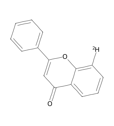 [2H]c1cccc2c(=O)cc(-c3ccccc3)oc12